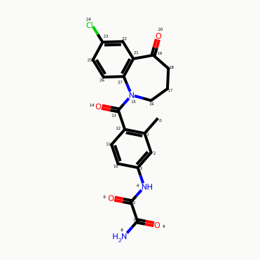 Cc1cc(NC(=O)C(N)=O)ccc1C(=O)N1CCCC(=O)c2cc(Cl)ccc21